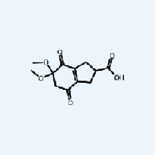 COC1(OC)CC(=O)C2=C(CC(C(=O)O)C2)C1=O